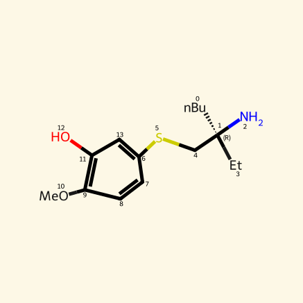 CCCC[C@](N)(CC)CSc1ccc(OC)c(O)c1